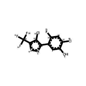 Oc1cc(-c2nsc(C(F)(F)F)c2Cl)c(F)cc1Cl